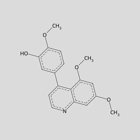 COc1cc(OC)c2c(-c3ccc(OC)c(O)c3)ccnc2c1